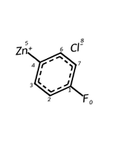 Fc1cc[c]([Zn+])cc1.[Cl-]